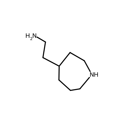 NCCC1CCCNCC1